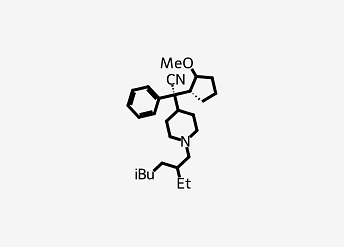 CCC(C)CC(CC)CN1CCC([C@@](C#N)(c2ccccc2)[C@H]2CCCC2OC)CC1